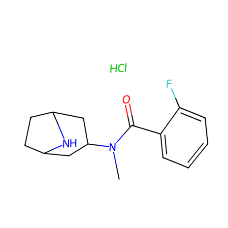 CN(C(=O)c1ccccc1F)C1CC2CCC(C1)N2.Cl